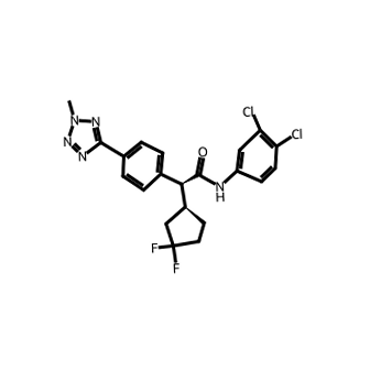 Cn1nnc(-c2ccc([C@@H](C(=O)Nc3ccc(Cl)c(Cl)c3)[C@H]3CCC(F)(F)C3)cc2)n1